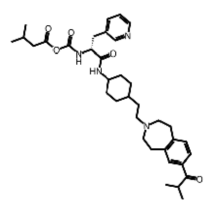 CC(C)CC(=O)OC(=O)N[C@H](Cc1cccnc1)C(=O)NC1CCC(CCN2CCc3ccc(C(=O)C(C)C)cc3CC2)CC1